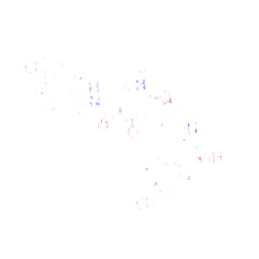 CN(Cc1cc2c(=O)c(C(=O)NCc3ccc(Cl)cc3)cn(C)c2o1)CC(O)c1ccc(Cl)cc1